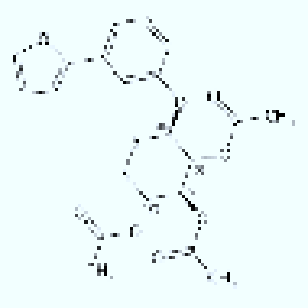 CC(=O)O[C@@H]1[C@@H](OC(C)=O)[C@H](OC(C)=O)CS[C@H]1Oc1cccc(-c2ccco2)c1